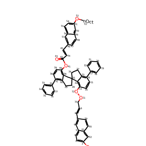 CCCCCCCCOc1ccc2cc(/C=C/COOc3ccc(-c4ccccc4)c4c3C3(CC4)CCc4c(-c5ccccc5)ccc(OC(=O)/C=C/c5ccc6cc(OCCCCCCCC)ccc6c5)c43)ccc2c1